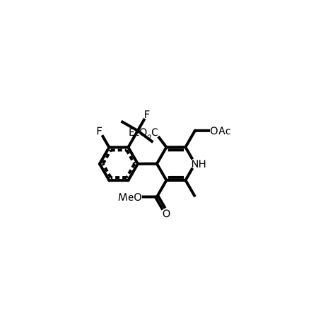 CCOC(=O)C1=C(COC(C)=O)NC(C)=C(C(=O)OC)C1c1cccc(F)c1C(C)(C)F